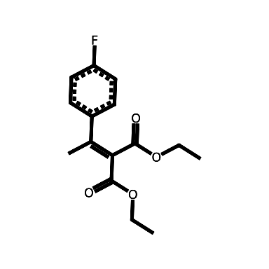 CCOC(=O)C(C(=O)OCC)=C(C)c1ccc(F)cc1